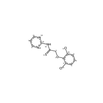 S=C(COc1c(Cl)cccc1Cl)Nc1ncccn1